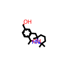 CC(O)c1ccc(CO)cc1CC1(C)CCCC(C)(C)N1